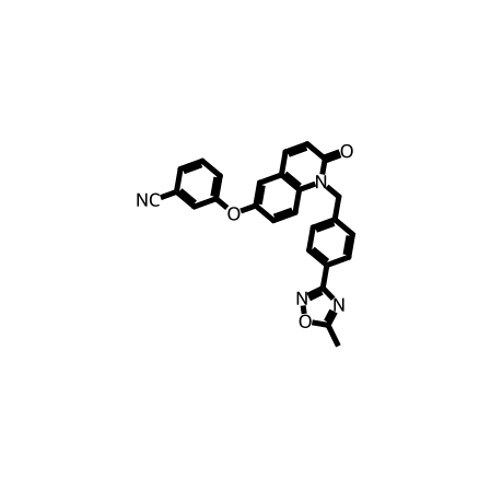 Cc1nc(-c2ccc(Cn3c(=O)ccc4cc(Oc5cccc(C#N)c5)ccc43)cc2)no1